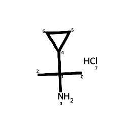 CC(C)(N)C1CC1.Cl